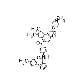 Cc1ccc(-c2ccccc2C(=O)Nc2ccc(C(=O)N3CCC(=O)N(CC(=O)N4CCN(C)CC4)c4cc(C)c(C)cc43)cc2)cc1